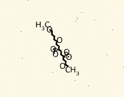 CCOCCCCC(=O)CCC(CCC(CCC(=O)CC)P(=O)=O)P(=O)=O